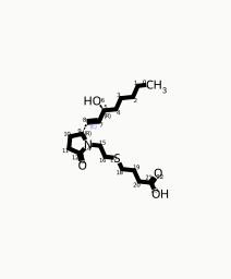 CCCCC[C@@H](O)/C=C/[C@H]1CCC(=O)N1CCSCCCC(=O)O